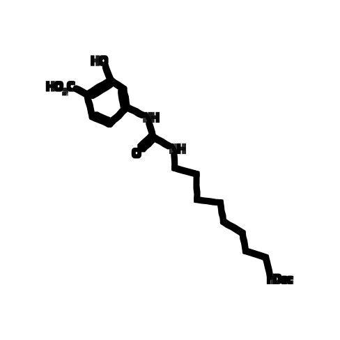 CCCCCCCCCCCCCCCCCCNC(=O)Nc1ccc(C(=O)O)c(O)c1